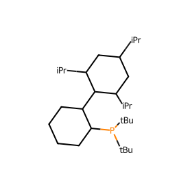 CC(C)C1CC(C(C)C)C(C2CCCCC2P(C(C)(C)C)C(C)(C)C)C(C(C)C)C1